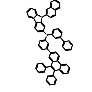 c1ccc(-c2cccc(N(c3cccc(-c4ccc5c(c4)c(-c4ccccc4)c(-c4ccccc4)c4ccccc45)c3)c3ccc4c5ccccc5n(-c5ccc6ccccc6c5)c4c3)c2)cc1